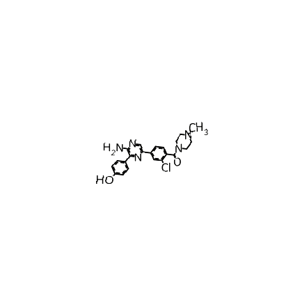 CN1CCN(C(=O)c2ccc(-c3cnc(N)c(-c4ccc(O)cc4)n3)cc2Cl)CC1